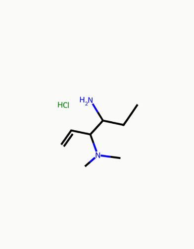 C=CC(C(N)CC)N(C)C.Cl